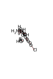 CC(=O)N[C@@H](CSc1nc2c(=O)[nH]c(N)nc2n1Cc1ccccc1)C(=O)NCCOCCOCCOCCOCCOCCCCCCCl.O=C(O)C(F)(F)F